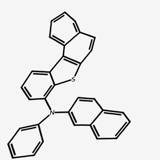 c1ccc(N(c2ccc3ccccc3c2)c2cccc3c2sc2ccc4ccccc4c23)cc1